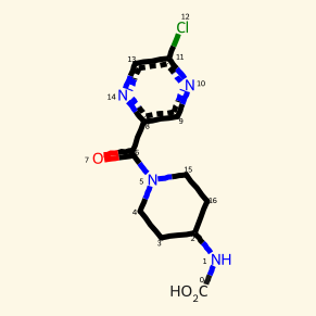 O=C(O)NC1CCN(C(=O)c2cnc(Cl)cn2)CC1